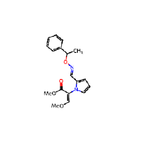 COC=C(C(=O)OC)n1cccc1C=NOC(C)c1ccccc1